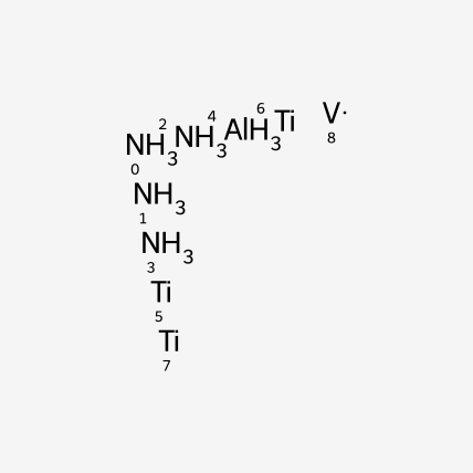 N.N.N.N.[AlH3].[Ti].[Ti].[Ti].[V]